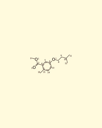 COC(=O)c1cc(OCCC(C)C)ccc1C